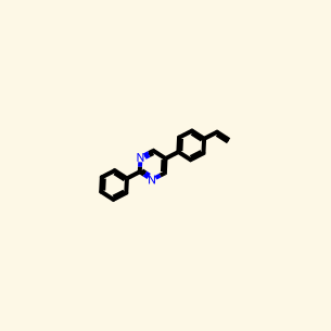 C=Cc1ccc(-c2cnc(-c3ccccc3)nc2)cc1